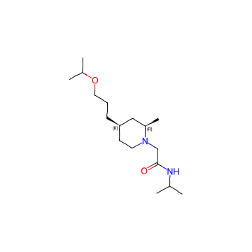 CC(C)NC(=O)CN1CC[C@@H](CCCOC(C)C)C[C@H]1C